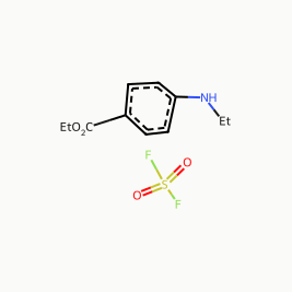 CCNc1ccc(C(=O)OCC)cc1.O=S(=O)(F)F